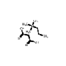 CCC[N+](C)(C)C.O=C(O)CC(=O)O